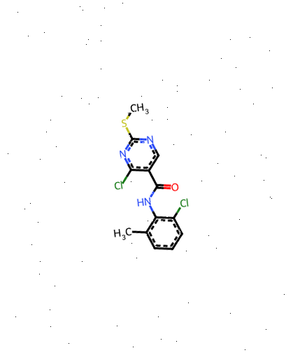 CSc1ncc(C(=O)Nc2c(C)cccc2Cl)c(Cl)n1